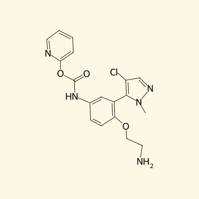 Cn1ncc(Cl)c1-c1cc(NC(=O)Oc2ccccn2)ccc1OCCN